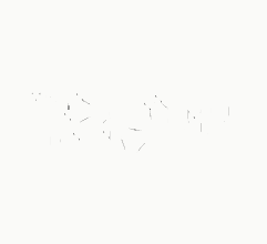 CSc1ncc2c(n1)N(C)CCN(c1cccc(-c3nnc(CN(C)C(=O)O)o3)c1)C2=O